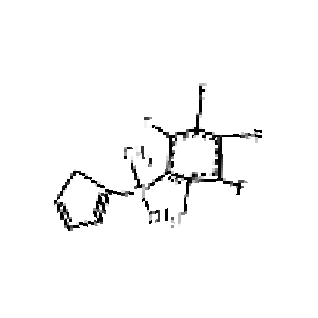 [CH3][Ti]([CH3])([C]1=CC=CC1)[c]1c(F)c(F)c(F)c(F)c1F